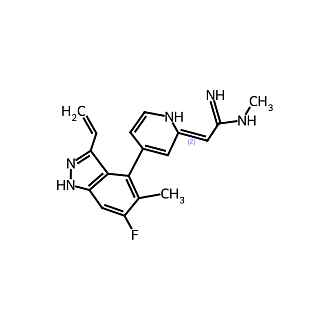 C=Cc1n[nH]c2cc(F)c(C)c(C3=C/C(=C/C(=N)NC)NC=C3)c12